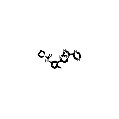 O=C(Nc1ccc(F)c(-c2ccn3c(-c4cnccn4)cnc3n2)c1)N1CCCC1